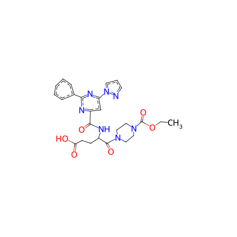 CCOC(=O)N1CCN(C(=O)C(CCC(=O)O)NC(=O)c2cc(-n3cccn3)nc(-c3ccccc3)n2)CC1